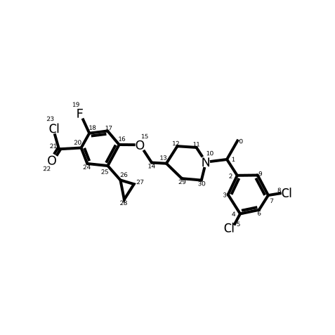 CC(c1cc(Cl)cc(Cl)c1)N1CCC(COc2cc(F)c(C(=O)Cl)cc2C2CC2)CC1